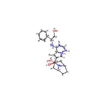 Cc1c(C(=O)N2C3CCC2CC(O)C3)cn2ncnc(N[C@H](CO)c3ccccc3)c12